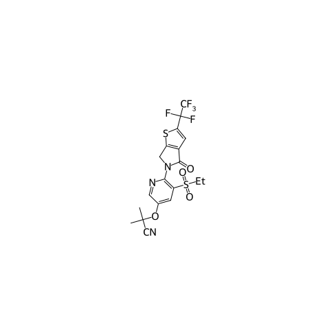 CCS(=O)(=O)c1cc(OC(C)(C)C#N)cnc1N1Cc2sc(C(F)(F)C(F)(F)F)cc2C1=O